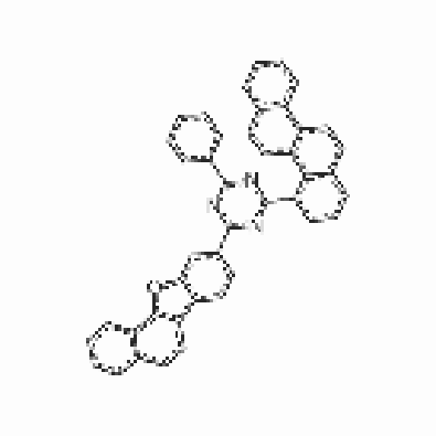 c1ccc(-c2nc(-c3ccc4c(c3)oc3c5ccccc5ccc43)nc(-c3cccc4ccc5c6ccccc6ccc5c34)n2)cc1